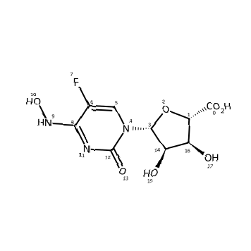 O=C(O)[C@H]1O[C@@H](n2cc(F)c(NO)nc2=O)[C@H](O)[C@@H]1O